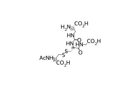 CC(=O)N[C@@H](CSSC[C@H](NC(=O)NC[C@H](N)C(=O)O)C(=O)NCC(=O)O)C(=O)O